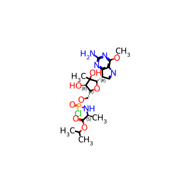 COc1nc(N)nc2c1N=C[C@@H]2C1O[C@H](COP(=O)(Cl)N[C@@H](C)C(=O)OC(C)C)[C@@H](O)C1(C)O